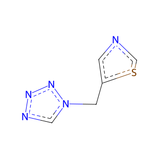 c1ncc(Cn2cnnn2)s1